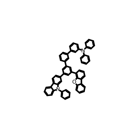 c1ccc(N(c2ccccc2)c2cccc(-c3cccc(-c4cc(-c5ccc6c7ccccc7n(-c7ccccc7)c6c5)cc(-c5cccc6c5oc5ccccc56)c4)c3)c2)cc1